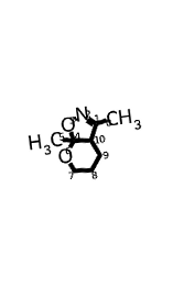 CC1=NOC2(C)OCCCC12